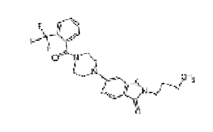 CCCCn1sc2cc(N3CCN(C(=O)c4ccccc4C(F)(F)F)CC3)ccc2c1=O